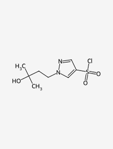 CC(C)(O)CCn1cc(S(=O)(=O)Cl)cn1